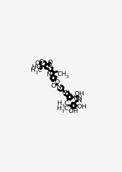 CCc1c2c(nc3ccc(OC(=O)N4CCC(N5Cc6ccc(-n7c(O)nnc7-c7cc(C(C)C)c(O)cc7O)cc6C5)CC4)cc13)-c1cc3c(c(=O)n1C2)COC(=O)[C@]3(O)CC